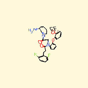 NC1C=CCCN(C(=O)CN(C(=O)CCc2c(F)cccc2F)c2ccccc2Oc2ccccc2OC(F)(F)F)C1